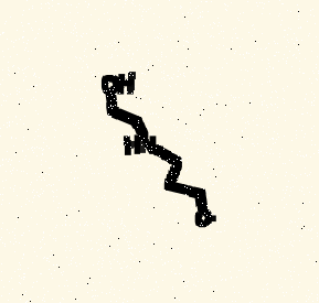 [O]CCCNCCO